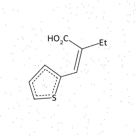 CC/C(=C/c1cccs1)C(=O)O